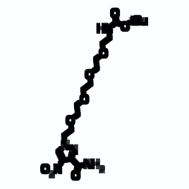 CC(C)(C)OC(=O)NCCOCCOCCOCCOCCn1cc([N+](=O)[O-])c(C(N)=O)n1